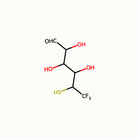 O=CC(O)C(O)C(O)C(S)C(F)(F)F